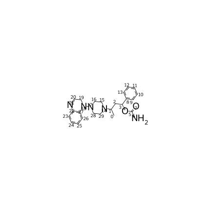 CC(CC(OC(N)=O)c1ccccc1)N1CCN(N2CC=Nc3ccccc32)CC1